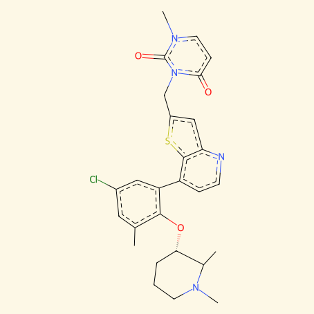 Cc1cc(Cl)cc(-c2ccnc3cc(Cn4c(=O)ccn(C)c4=O)sc23)c1O[C@H]1CCCN(C)C1C